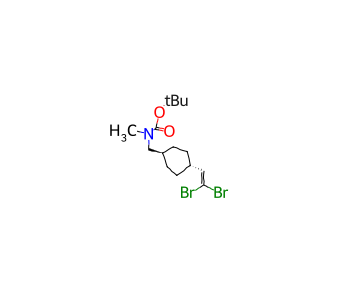 CN(C[C@H]1CC[C@H](C=C(Br)Br)CC1)C(=O)OC(C)(C)C